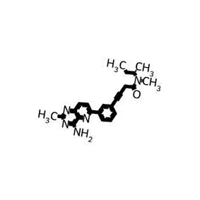 CC[C@H](C)N(C)C(=O)CC#Cc1cccc(-c2ccc3nc(C)nc(N)c3n2)c1